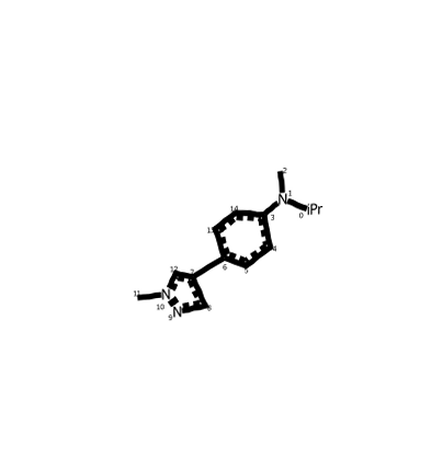 CC(C)N(C)c1ccc(-c2cnn(C)c2)cc1